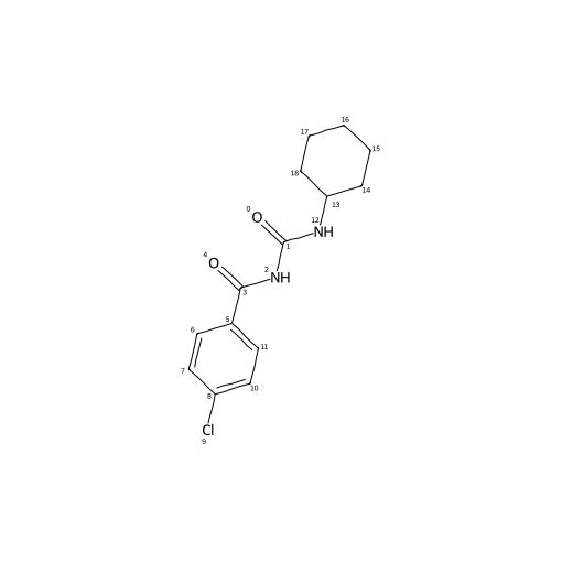 O=C(NC(=O)c1ccc(Cl)cc1)NC1CCCCC1